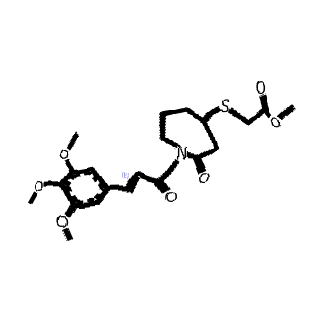 COC(=O)CSC1CCCN(C(=O)/C=C/c2cc(OC)c(OC)c(OC)c2)C(=O)C1